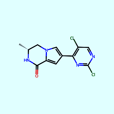 C[C@@H]1Cn2cc(-c3nc(Cl)ncc3Cl)cc2C(=O)N1